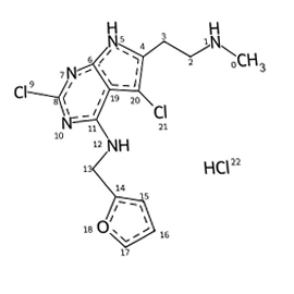 CNCCc1[nH]c2nc(Cl)nc(NCc3ccco3)c2c1Cl.Cl